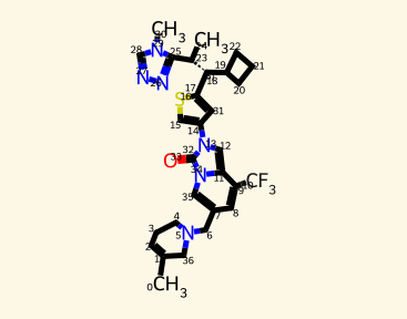 CC1=CCCN(Cc2cc(C(F)(F)F)c3cn(-c4csc([C@@H](C5CCC5)C(C)c5nncn5C)c4)c(=O)n3c2)C1